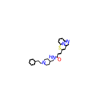 O=C(C=CC1=Cc2cnc3cccc(n23)S1)NCC1CCN(CCc2ccccc2)CC1